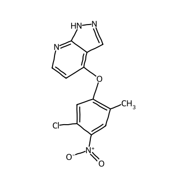 Cc1cc([N+](=O)[O-])c(Cl)cc1Oc1ccnc2[nH]ncc12